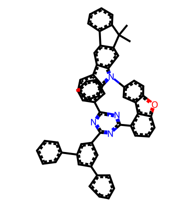 CC1(C)c2ccccc2-c2cc3c4ccccc4n(-c4ccc5oc6cccc(-c7nc(-c8ccccc8)nc(-c8cc(-c9ccccc9)cc(-c9ccccc9)c8)n7)c6c5c4)c3cc21